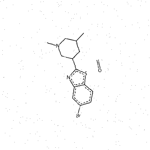 C=O.CC1CC(c2nc3cc(Br)ccc3s2)CN(C)C1